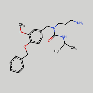 COc1cc(CN(CCCN)C(=O)NC(C)C)ccc1OCc1ccccc1